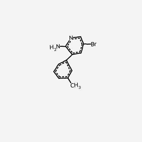 Cc1cccc(-c2cc(Br)cnc2N)c1